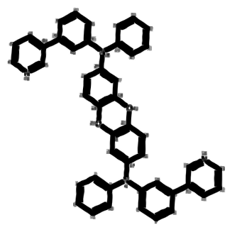 c1ccc(N(c2cccc(-c3cccnc3)c2)c2ccc3c(c2)Oc2ccc(N(c4ccccc4)c4cccc(-c5cccnc5)c4)cc2O3)cc1